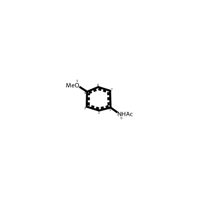 CC(=O)Nc1ccc(O[13CH3])cc1